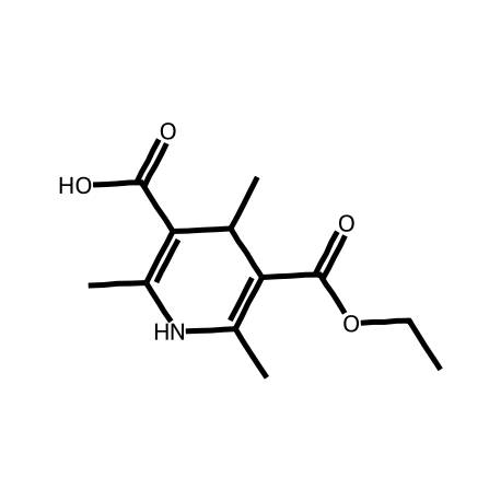 CCOC(=O)C1=C(C)NC(C)=C(C(=O)O)C1C